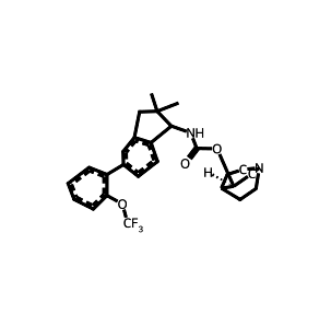 CC1(C)Cc2cc(-c3ccccc3OC(F)(F)F)ccc2C1NC(=O)O[C@H]1CN2CCC1CC2